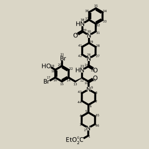 CCOC(=O)CN1CCC(C2CCN(C(=O)[C@@H](Cc3cc(Br)c(O)c(Br)c3)NC(=O)N3CCC(N4Cc5ccccc5NC4=O)CC3)CC2)CC1